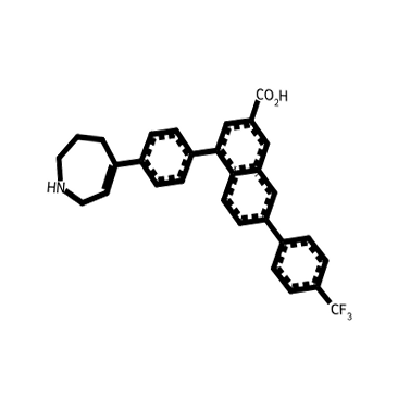 O=C(O)c1cc(-c2ccc(C3=CCNCCC3)cc2)c2ccc(-c3ccc(C(F)(F)F)cc3)cc2c1